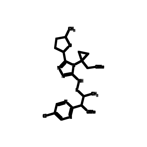 COCC1(n2c(NSC(C)C(OC)c3ncc(Cl)cn3)nnc2C2CCC(C)O2)CC1